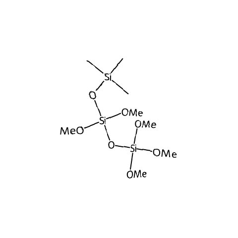 CO[Si](OC)(OC)O[Si](OC)(OC)O[Si](C)(C)C